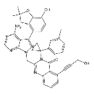 Cc1cccc(C2(n3c(Cn4nc(-c5ccc(O)c6c5CC(C)(C)O6)c5c(N)ncnc54)nc4cccc(C#CCO)c4c3=O)CC2)c1